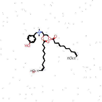 CCCCCCCC/C=C\CCCCCCCC(=O)OCC(C[N+](C)(C)Cc1ccc(O)cc1)OC(=O)CCCCCCC/C=C\CCCCCCCC.[Br-]